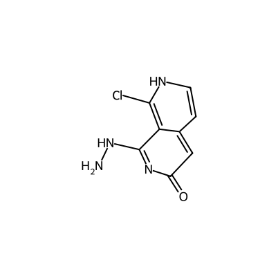 NNc1nc(=O)cc2cc[nH]c(Cl)c1-2